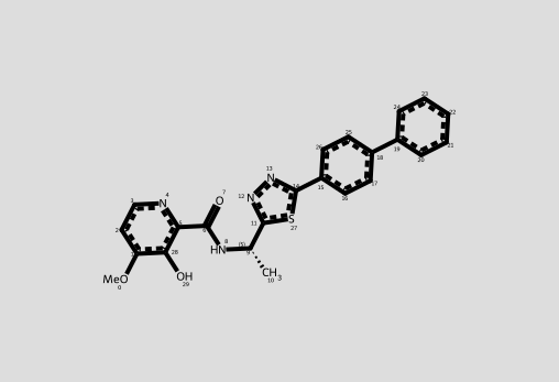 COc1ccnc(C(=O)N[C@@H](C)c2nnc(-c3ccc(-c4ccccc4)cc3)s2)c1O